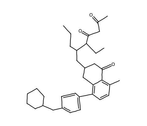 CCCC(CC1CC(=O)c2c(C)ccc(-c3ccc(CC4CCCCC4)cc3)c2C1)C(CC)C(=O)CC(C)=O